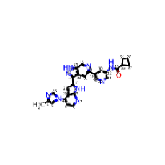 Cc1cn(-c2ccnc3[nH]c(-c4n[nH]c5cnc(-c6cncc(NC(=O)C7CCC7)c6)cc45)cc23)cn1